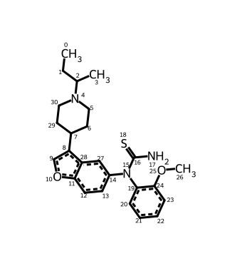 CCC(C)N1CCC(c2coc3ccc(N(C(N)=S)c4ccccc4OC)cc23)CC1